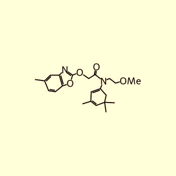 COCCN(C(=O)COc1nc2cc(C)ccc2o1)C1=CC(C)=CC(C)(C)C1